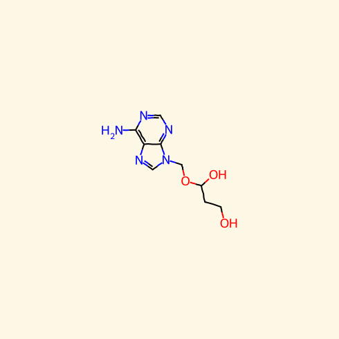 Nc1ncnc2c1ncn2COC(O)CCO